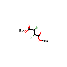 CCC(C)OC(=O)C(Br)C(Br)C(=O)OC(C)CC